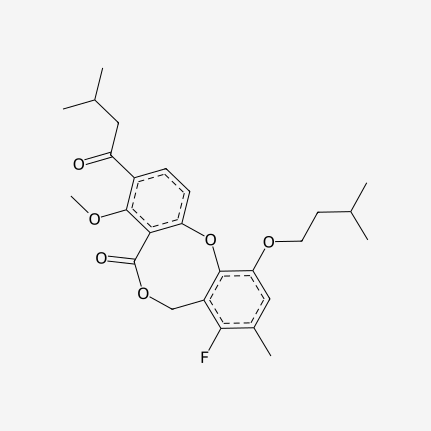 COc1c(C(=O)CC(C)C)ccc2c1C(=O)OCc1c(F)c(C)cc(OCCC(C)C)c1O2